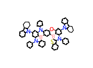 c1ccc(N2c3ccccc3B3c4cc5c(cc4N(c4ccccc4)c4cc(-n6c7c(c8ccccc86)CCCC7)cc2c43)Oc2cc(-n3c4c(c6ccccc63)CCCC4)cc3c2B5c2sc4ccccc4c2N3c2ccccc2)cc1